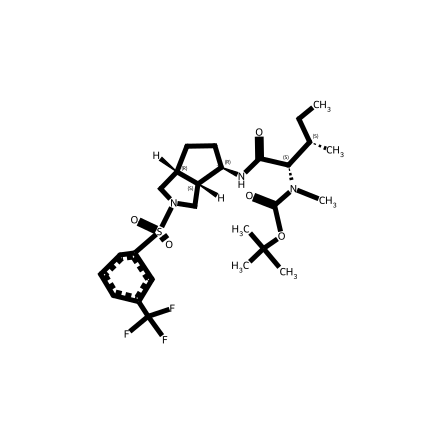 CC[C@H](C)[C@@H](C(=O)N[C@@H]1CC[C@H]2CN(S(=O)(=O)c3cccc(C(F)(F)F)c3)C[C@H]21)N(C)C(=O)OC(C)(C)C